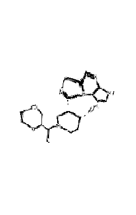 C[C@@H]1CCN(C(=O)[C@@H]2COCCO2)C[C@@H]1c1ncc2cnc3[nH]ccc3n12